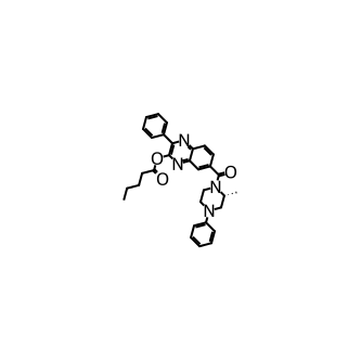 CCCCC(=O)Oc1nc2cc(C(=O)N3CCN(c4ccccc4)C[C@H]3C)ccc2nc1-c1ccccc1